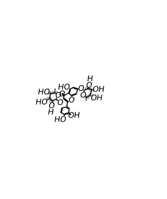 C[C@H]1OC(Oc2cc(O)c3c(=O)c(OC4O[C@H](C)[C@@H](O)[C@H](O)[C@@H]4O)c(-c4ccc(O)c(O)c4)oc3c2)[C@@H](O)[C@@H](O)[C@@H]1O